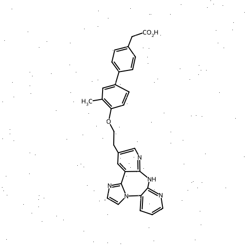 Cc1cc(-c2ccc(CC(=O)O)cc2)ccc1OCCc1cnc2c(c1)-c1nccn1-c1cccnc1N2